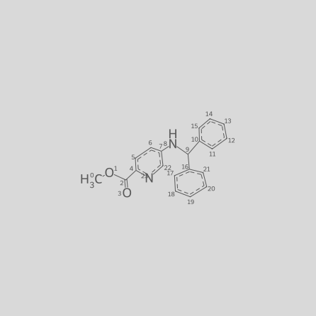 COC(=O)c1ccc(NC(c2ccccc2)c2ccccc2)cn1